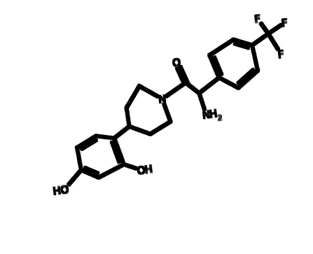 NC(C(=O)N1CCC(c2ccc(O)cc2O)CC1)c1ccc(C(F)(F)F)cc1